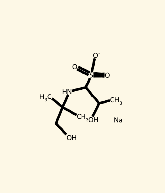 CC(O)C(NC(C)(C)CO)S(=O)(=O)[O-].[Na+]